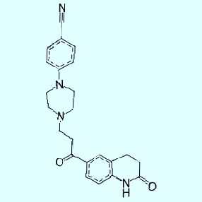 N#Cc1ccc(N2CCN(CCC(=O)c3ccc4c(c3)CCC(=O)N4)CC2)cc1